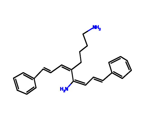 NCCCCC(=C/C=C/c1ccccc1)/C(N)=C\C=C\c1ccccc1